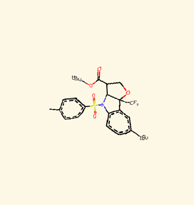 Cc1ccc(S(=O)(=O)N2c3ccc(C(C)(C)C)cc3C3(C(F)(F)F)OCC(C(=O)OC(C)(C)C)C23)cc1